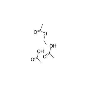 CC(=O)O.CC(=O)O.CCOC(C)=O